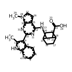 Cc1[nH]c2ncccc2c1-c1nc(NC2C3CCC(CC3)C2C(=O)O)c2ccn(C)c2n1